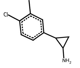 Cc1cc(C2CC2N)ccc1Cl